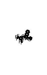 FC(F)(F)c1cc(Oc2nnc(-c3ccco3)c3cc4ccccc4cc23)cc(C(F)(F)F)c1